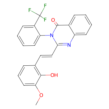 COc1cccc(C=Cc2nc3ccccc3c(=O)n2-c2ccccc2C(F)(F)F)c1O